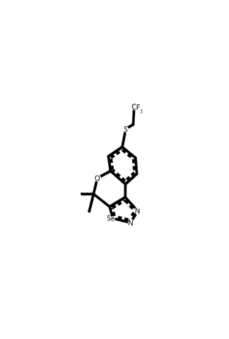 CC1(C)Oc2cc(SCC(F)(F)F)ccc2-c2nn[se]c21